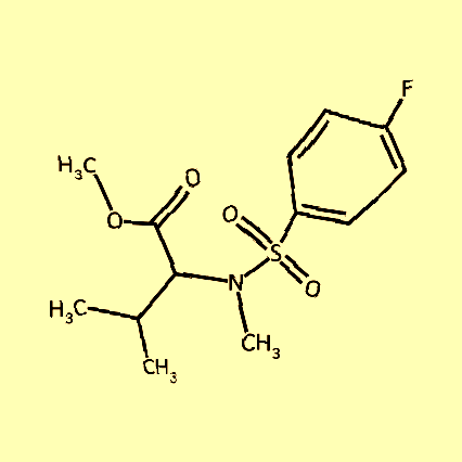 COC(=O)C(C(C)C)N(C)S(=O)(=O)c1ccc(F)cc1